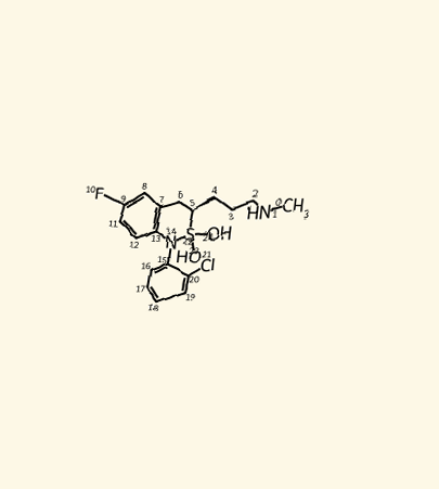 CNCCC[C@@H]1Cc2cc(F)ccc2N(c2ccccc2Cl)S1(O)O